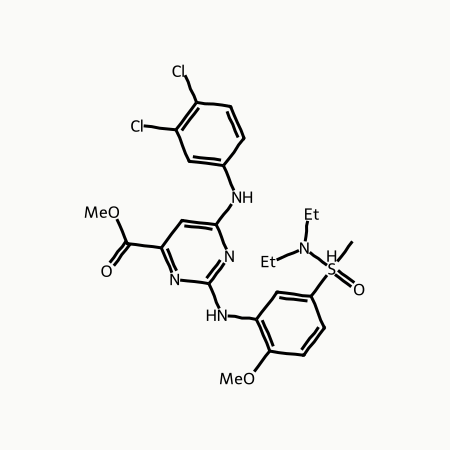 CCN(CC)[SH](C)(=O)c1ccc(OC)c(Nc2nc(Nc3ccc(Cl)c(Cl)c3)cc(C(=O)OC)n2)c1